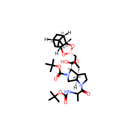 CC(NC(=O)OC(C)(C)C)C(=O)N1CC[C@@]2(CCCB3O[C@@H]4C[C@@H]5C[C@@H](C5(C)C)[C@]4(C)O3)[C@@H]1CN(C(=O)OC(C)(C)C)[C@@H]2C(=O)O